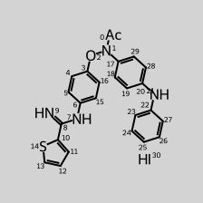 CC(=O)N(Oc1ccc(NC(=N)c2cccs2)cc1)c1ccc(Nc2ccccc2)cc1.I